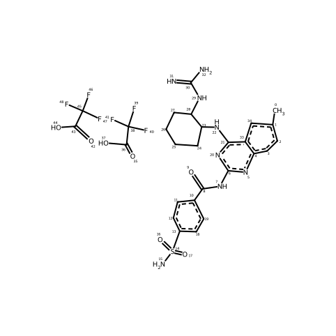 Cc1ccc2nc(NC(=O)c3ccc(S(N)(=O)=O)cc3)nc(NC3CCCCC3NC(=N)N)c2c1.O=C(O)C(F)(F)F.O=C(O)C(F)(F)F